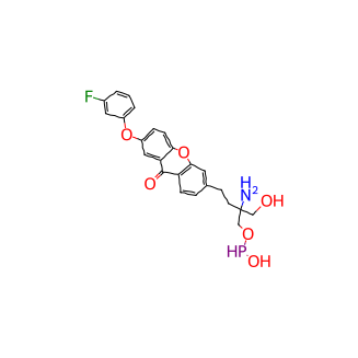 NC(CO)(CCc1ccc2c(=O)c3cc(Oc4cccc(F)c4)ccc3oc2c1)COPO